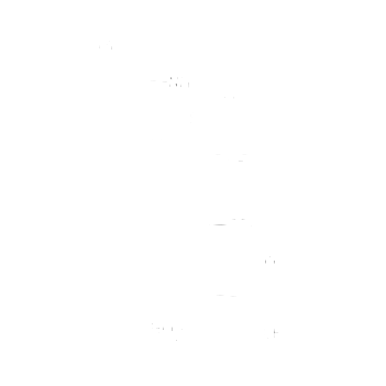 CC(C)CNS(=O)(=O)c1ccc2c(c1)C[C@@H](C(=O)O)[C@@H](C(F)(F)F)O2